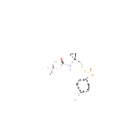 Cc1ccc(S(=O)(=O)SCC2(NC(=O)OC(C)(C)C)CC2)cc1